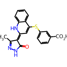 CC1=NNC(=O)C1=C1C=C(Sc2cccc(C(=O)O)c2)c2ccccc2N1